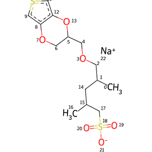 CC(COCC1COc2cscc2O1)CC(C)CS(=O)(=O)[O-].[Na+]